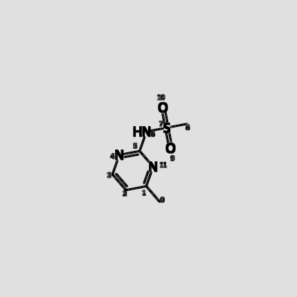 Cc1ccnc(NS(C)(=O)=O)n1